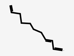 [CH]=CC=CCCCCCC=C